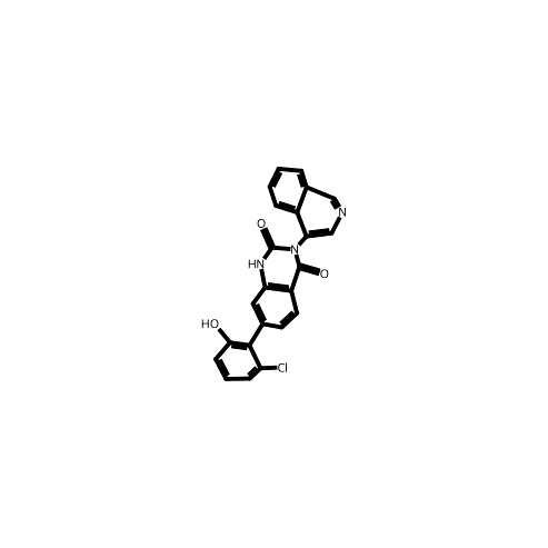 O=c1[nH]c2cc(-c3c(O)cccc3Cl)ccc2c(=O)n1-c1cncc2ccccc12